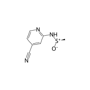 C[S@@+]([O-])Nc1cc(C#N)ccn1